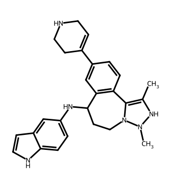 CC1=C2c3ccc(C4=CCNCC4)cc3C(Nc3ccc4[nH]ccc4c3)CCN2N(C)N1